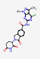 Cc1nn(C(C)C)c2nc(NC(=O)c3ccc4c(c3)CN(C3CCC(=O)NC3=O)C4=O)nc(F)c12